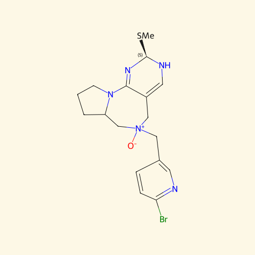 CS[C@@H]1N=C2C(=CN1)C[N+]([O-])(Cc1ccc(Br)nc1)CC1CCCN21